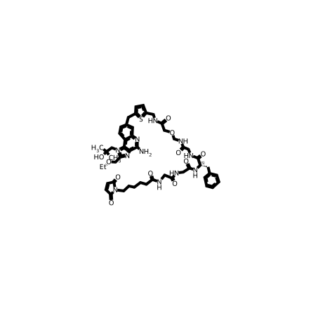 CCOCc1nc2c(N)nc3cc(Cc4ccc(CNC(=O)COCNC(=O)CNC(=O)[C@H](Cc5ccccc5)NC(=O)CNC(=O)CNC(=O)CCCCCN5C(=O)C=CC5=O)s4)ccc3c2n1CC(C)(C)O